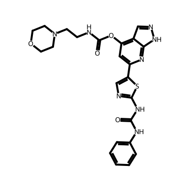 O=C(Nc1ccccc1)Nc1ncc(-c2cc(OC(=O)NCCN3CCOCC3)c3cn[nH]c3n2)s1